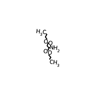 CCCCOC(=O)CC(N)C(=O)OCCCC